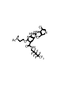 CC(=O)N(C)CCOc1nc2[nH]c(Nc3c(Cl)cncc3Cl)nc2cc1C(=O)NCC(F)(F)C(F)(F)C(F)(F)C(F)(F)F